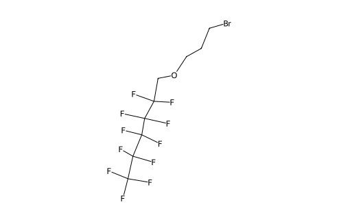 FC(F)(F)C(F)(F)C(F)(F)C(F)(F)C(F)(F)COCCCBr